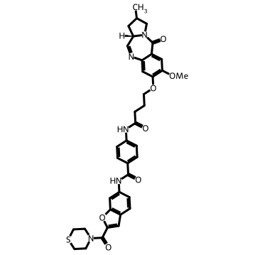 COc1cc2c(cc1OCCCC(=O)Nc1ccc(C(=O)Nc3ccc4cc(C(=O)N5CCSCC5)oc4c3)cc1)N=C[C@@H]1CC(C)CN1C2=O